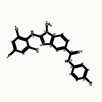 Cn1c(Nc2c(Cl)cc(F)cc2Cl)nc2cc(C(=O)Nc3ccc(Br)cc3)ccc21